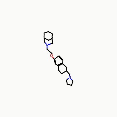 c1cc2c(cc1OCCN1CC3CCCC(C3)C1)CCC(CN1CCCC1)C2